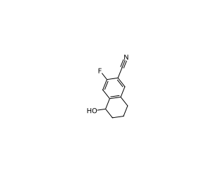 N#Cc1cc2c(cc1F)C(O)CCC2